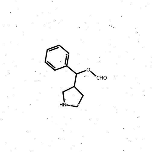 O=COC(c1ccccc1)C1CCNC1